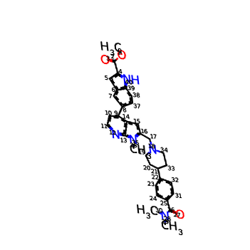 COC(=O)c1cc2cc(-c3ccnc4c3cc(CN3CCC(c5ccc(C(=O)N(C)C)cc5)CC3)n4C)ccc2[nH]1